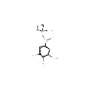 CC(=O)N(CC1(C)COC1)c1cc(C)c(Br)c(C)c1